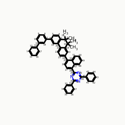 CC1(C)c2ccc(-c3cccc(-c4ccccc4)c3)cc2-c2ccc(-c3ccc(-c4nc(-c5ccccc5)nc(-c5ccccc5)n4)c4ccccc34)cc2C1(C)C